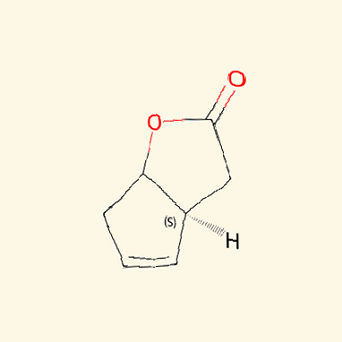 O=C1C[C@H]2C=CCC2O1